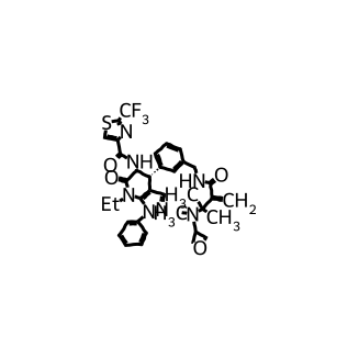 C=C(C(=O)NCc1cccc([C@@H]2c3cnn(-c4ccccc4)c3N(CC)C(=O)[C@H]2NC(=O)c2csc(C(F)(F)F)n2)c1)C(C)(C)N(C)C1COC1